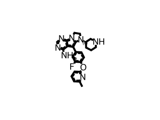 Cc1cccc(Oc2ccc(-c3c4n(c5ncnc(N)c35)CCN4[C@@H]3CCCNC3)cc2F)n1